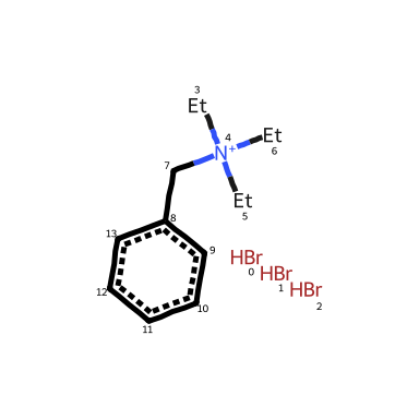 Br.Br.Br.CC[N+](CC)(CC)Cc1ccccc1